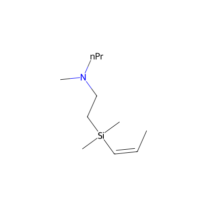 C/C=C\[Si](C)(C)CCN(C)CCC